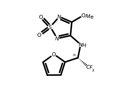 COC1=NS(=O)(=O)N=C1N[C@@H](c1ccco1)C(F)(F)F